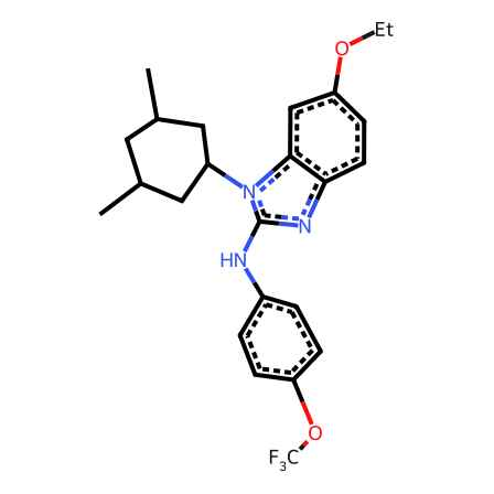 CCOc1ccc2nc(Nc3ccc(OC(F)(F)F)cc3)n(C3CC(C)CC(C)C3)c2c1